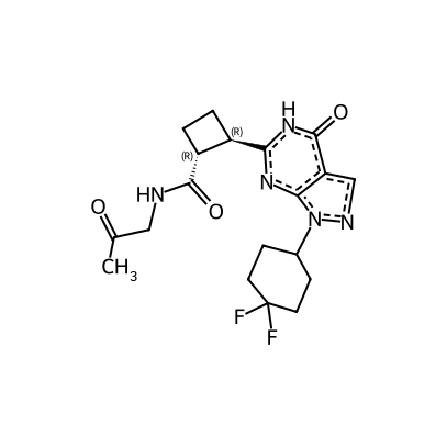 CC(=O)CNC(=O)[C@@H]1CC[C@H]1c1nc2c(cnn2C2CCC(F)(F)CC2)c(=O)[nH]1